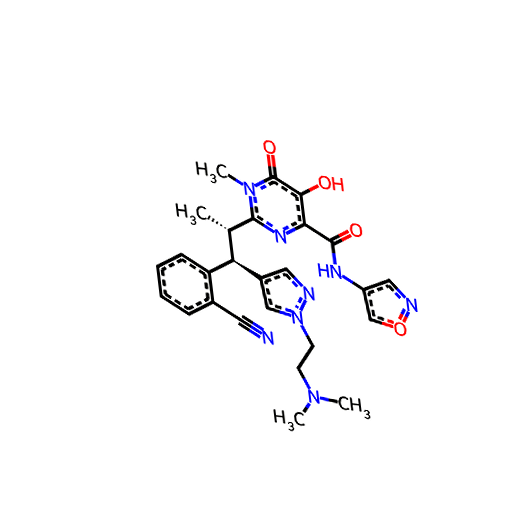 C[C@H](c1nc(C(=O)Nc2cnoc2)c(O)c(=O)n1C)[C@@H](c1cnn(CCN(C)C)c1)c1ccccc1C#N